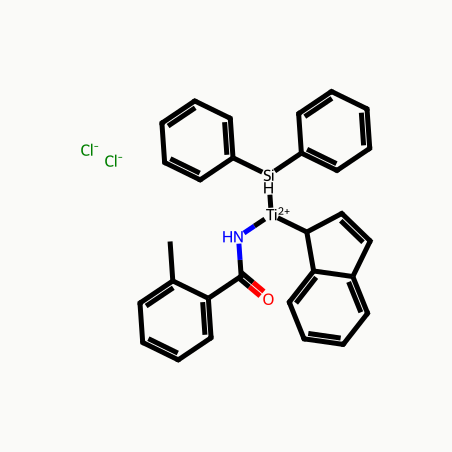 Cc1ccccc1C(=O)[NH][Ti+2]([CH]1C=Cc2ccccc21)[SiH](c1ccccc1)c1ccccc1.[Cl-].[Cl-]